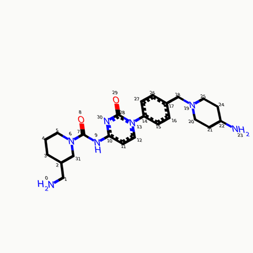 NCC1CCCN(C(=O)Nc2ccn(-c3ccc(CN4CCC(N)CC4)cc3)c(=O)n2)C1